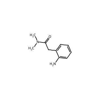 CN(C)C(=O)Cc1ccccc1N